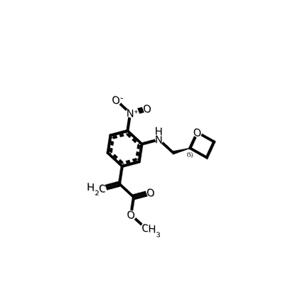 C=C(C(=O)OC)c1ccc([N+](=O)[O-])c(NC[C@@H]2CCO2)c1